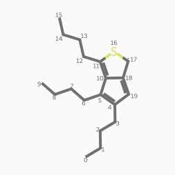 CCCCC1=C(CCCC)C2=C(CCCC)S[CH]C2=C1